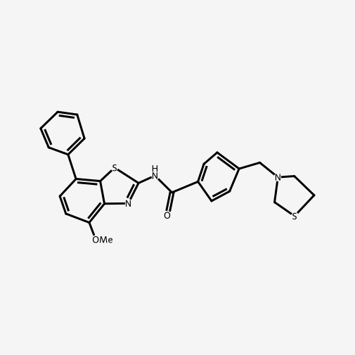 COc1ccc(-c2ccccc2)c2sc(NC(=O)c3ccc(CN4CCSC4)cc3)nc12